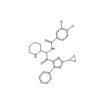 O=C(NC(C(=O)c1nc(C2CC2)sc1-c1ccccc1)C1CCCCN1)c1ccc(Cl)c(Cl)c1